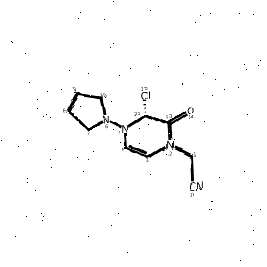 N#CCN1C=CN(N2C[CH]CC2)[C@H](Cl)C1=O